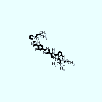 COC(=O)N[C@H](C(=O)N1CCCC1c1ncc(-c2cnc(-c3ccc(-c4cnc([C@@H]5CCCN5C(=O)CC(C)C)[nH]4)c(F)c3)nc2)[nH]1)C(C)C